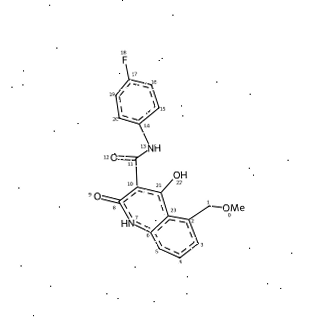 COCc1cccc2[nH]c(=O)c(C(=O)Nc3ccc(F)cc3)c(O)c12